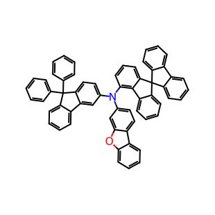 c1ccc(C2(c3ccccc3)c3ccccc3-c3cc(N(c4ccc5c(c4)oc4ccccc45)c4cccc5c4-c4ccccc4C54c5ccccc5-c5ccccc54)ccc32)cc1